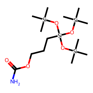 C[Si](C)(C)O[Si](CCCOC(N)=O)(O[Si](C)(C)C)O[Si](C)(C)C